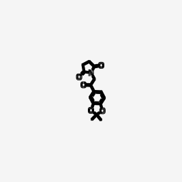 CC1(C)Oc2ccc(C(=O)CN3C(=O)CCC3=O)cc2O1